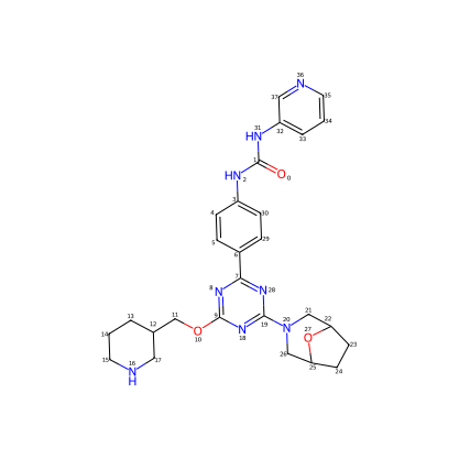 O=C(Nc1ccc(-c2nc(OCC3CCCNC3)nc(N3CC4CCC(C3)O4)n2)cc1)Nc1cccnc1